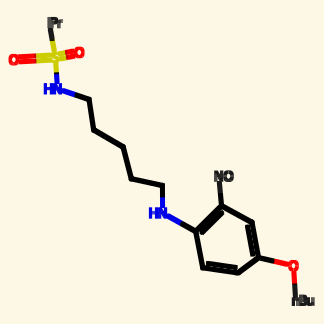 CCCCOc1ccc(NCCCCCNS(=O)(=O)C(C)C)c(N=O)c1